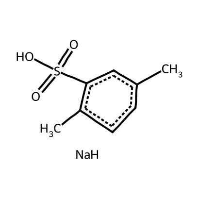 Cc1ccc(C)c(S(=O)(=O)O)c1.[NaH]